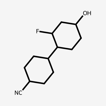 N#CC1CCC(C2CCC(O)CC2F)CC1